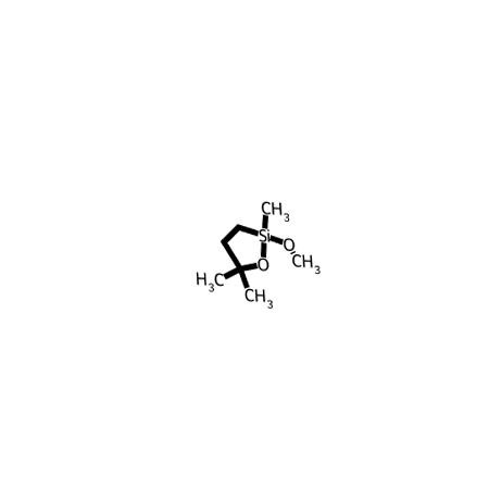 CO[Si]1(C)CCC(C)(C)O1